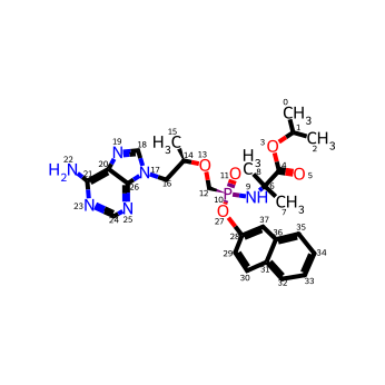 CC(C)OC(=O)C(C)(C)N[P@](=O)(CO[C@H](C)Cn1cnc2c(N)ncnc21)Oc1ccc2ccccc2c1